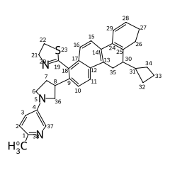 Cc1ccc(N2CCC(c3ccc4c5c(ccc4c3C3=NCCS3)C3=C(CCC=C3)C(C3CCC3)C5)C2)cn1